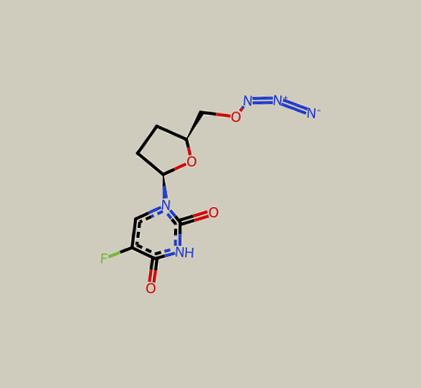 [N-]=[N+]=NOC[C@@H]1CC[C@H](n2cc(F)c(=O)[nH]c2=O)O1